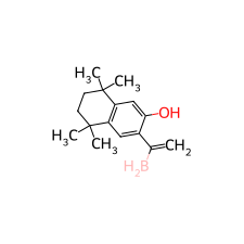 BC(=C)c1cc2c(cc1O)C(C)(C)CCC2(C)C